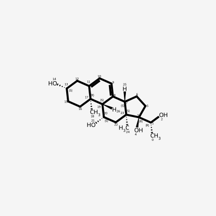 C[C@@H](O)[C@@]1(O)CC[C@H]2C3=CC=C4C[C@@H](O)CC[C@]4(C)[C@H]3[C@@H](O)C[C@@]21C